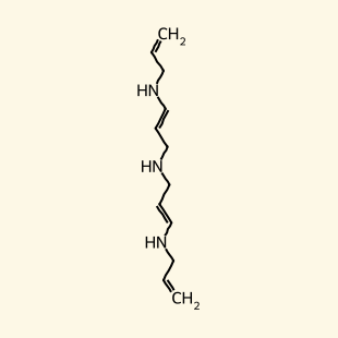 C=CCNC=CCNCC=CNCC=C